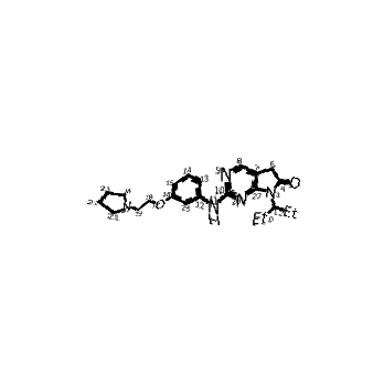 CCC(CC)N1C(=O)Cc2cnc(Nc3cccc(OCCN4CCCC4)c3)nc21